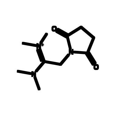 CN(C)C(CN1C(=O)CCC1=O)=[N+](C)C